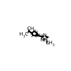 CC(C)C1CC2C(C1)C2c1ncn(C)n1